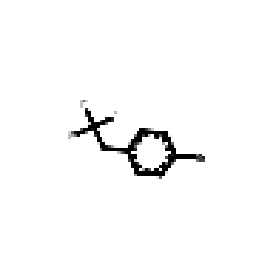 FC(F)(F)[CH]c1ccc(Br)cc1